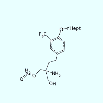 CCCCCCCOc1ccc(CCC(N)(CO)CO[PH2]=O)cc1C(F)(F)F